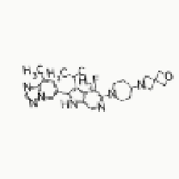 Cc1cc(-c2[nH]c3cnc(N4CCC(N5CC6(COC6)C5)CC4)c(F)c3c2C(C)C)cn2ncnc12